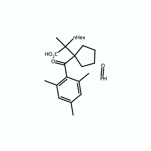 CCCCCCC(C)(C(=O)O)C1(C(=O)c2c(C)cc(C)cc2C)CCCC1.O=P